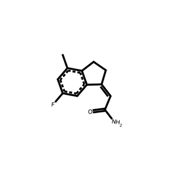 Cc1cc(F)cc2c1CC/C2=C/C(N)=O